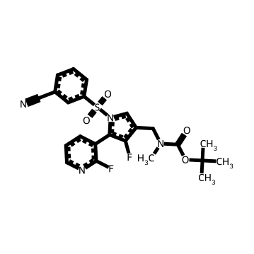 CN(Cc1cn(S(=O)(=O)c2cccc(C#N)c2)c(-c2cccnc2F)c1F)C(=O)OC(C)(C)C